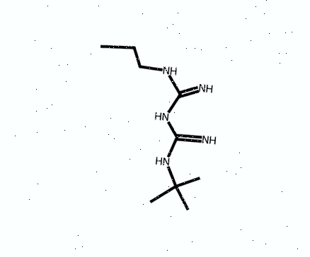 CCCNC(=N)NC(=N)NC(C)(C)C